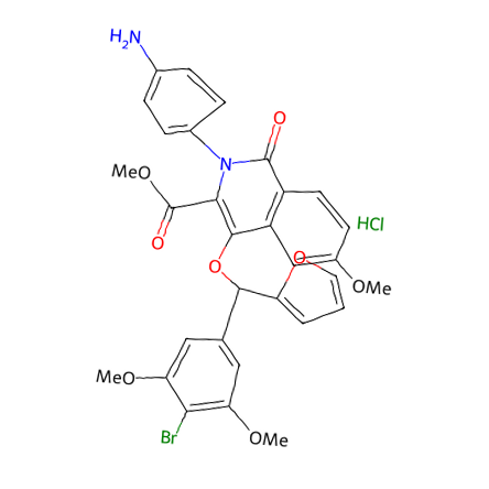 COC(=O)c1c(OC(c2cc(OC)c(Br)c(OC)c2)c2ccco2)c2cc(OC)ccc2c(=O)n1-c1ccc(N)cc1.Cl